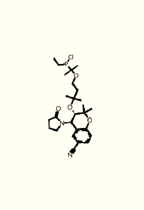 CCP(Cl)C(C)(C)OCCC(C)(C)O[C@H]1[C@H](N2CCCC2=O)c2cc(C#N)ccc2OC1(C)C